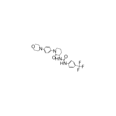 O=C(Nc1ccc(C(F)(F)F)cc1)NC1CCCN(c2ccc(N3CCOCC3)cc2)C1=O